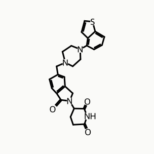 O=C1CCC(N2Cc3cc(CN4CCN(c5cccc6sccc56)CC4)ccc3C2=O)C(=O)N1